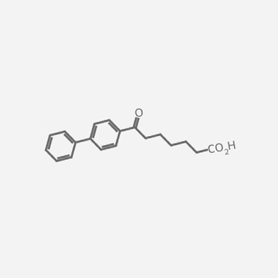 O=C(O)CCCCCC(=O)c1ccc(-c2ccccc2)cc1